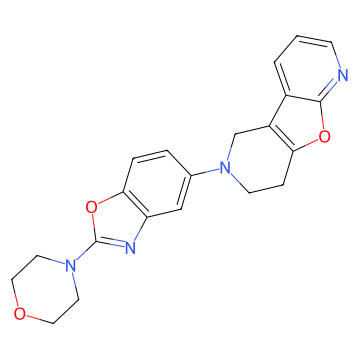 c1cnc2oc3c(c2c1)CN(c1ccc2oc(N4CCOCC4)nc2c1)CC3